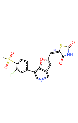 CS(=O)(=O)c1ccc(-c2cncc3cc(/C=C4/SC(=O)NC4=O)oc23)cc1F